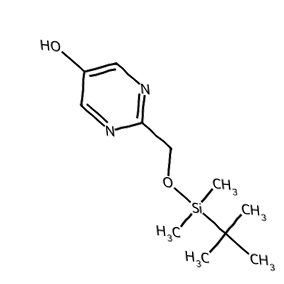 CC(C)(C)[Si](C)(C)OCc1ncc(O)cn1